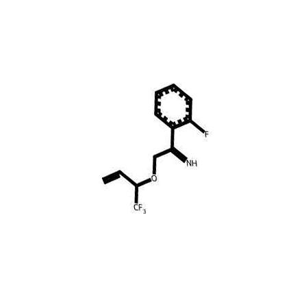 C=CC(OCC(=N)c1ccccc1F)C(F)(F)F